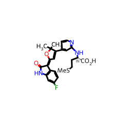 CSCC[C@H](Nc1cc(C2=CC(=C3C(=O)Nc4cc(F)ccc43)OC2(C)C)ccn1)C(=O)O